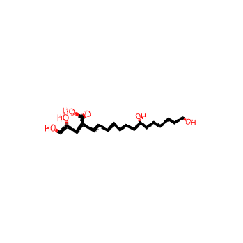 O=C(O)C(CCCCCCCC(O)CCCCCCO)CC(O)CO